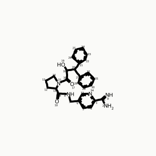 N=C(N)c1ccc(CNC(=O)C2CCCN2C(=O)C(O)C(c2ccccc2)c2ccccc2)cn1